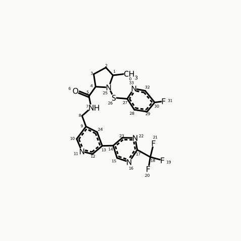 CC1CCC(C(=O)NCc2cncc(-c3cnc(C(F)(F)F)nc3)c2)N1Sc1ccc(F)cn1